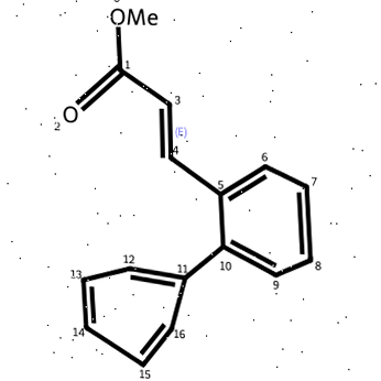 COC(=O)/C=C/c1ccccc1-c1ccccc1